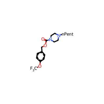 [CH2]CCCCN1CCN(C(=O)OCc2ccc(OC(F)(F)F)cc2)CC1